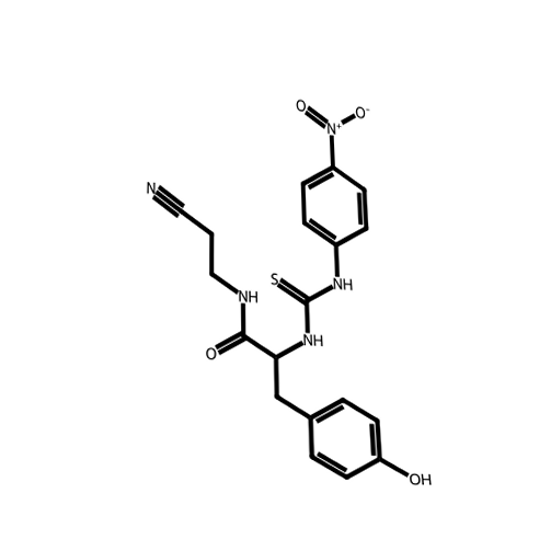 N#CCCNC(=O)C(Cc1ccc(O)cc1)NC(=S)Nc1ccc([N+](=O)[O-])cc1